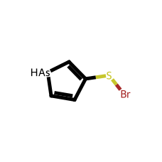 BrSC1=C[AsH]C=C1